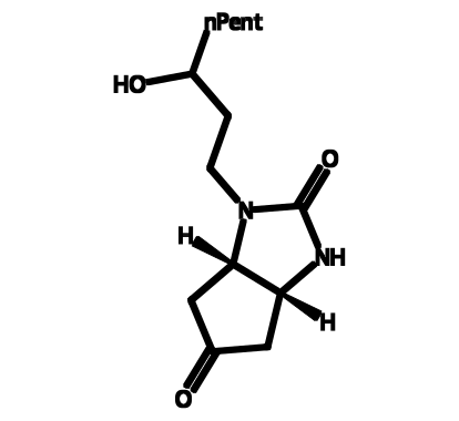 CCCCCC(O)CCN1C(=O)N[C@@H]2CC(=O)C[C@@H]21